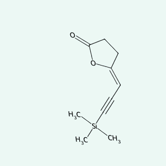 C[Si](C)(C)C#CC=C1CCC(=O)O1